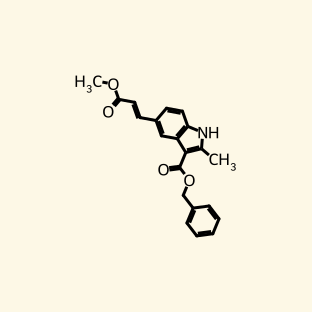 COC(=O)C=Cc1ccc2[nH]c(C)c(C(=O)OCc3ccccc3)c2c1